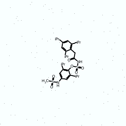 CC(C)c1cc(C(C)C)c(CC(=O)NS(=O)(=O)Oc2c(C(C)C)cc(NS(C)(=O)=O)cc2C(C)C)c(C(C)C)c1